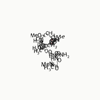 CNN(C)Cc1cocc1CCC(=O)N[C@@H](CC(N)=O)C(=O)NCCOCCOCCC(=O)N(C)[C@@H](C)C(=O)O[C@H]1CC(=O)N(C)c2cc(cc(OC)c2Cl)C/C(C)=C/C=C/[C@@H](OC)[C@@]2(O)C[C@H](OC(=O)N2)[C@@H](C)C2O[C@]21C